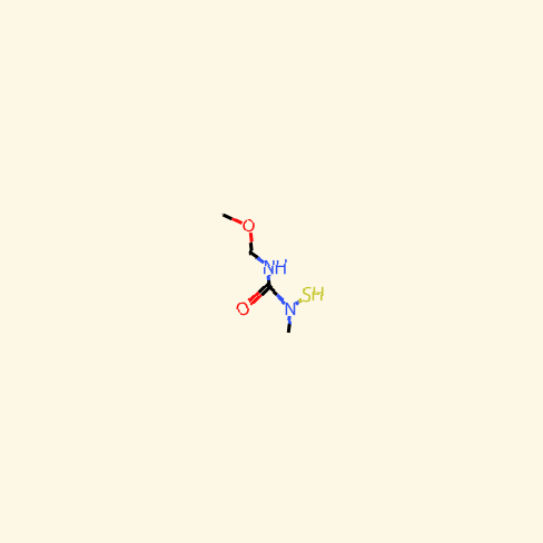 COCNC(=O)N(C)S